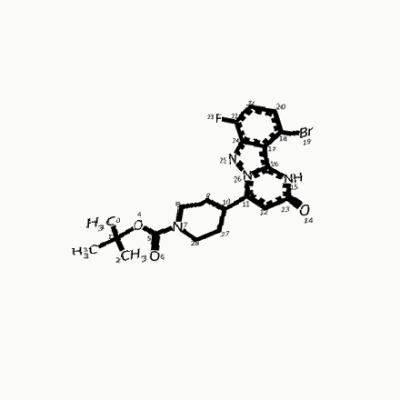 CC(C)(C)OC(=O)N1CCC(c2cc(=O)[nH]c3c4c(Br)ccc(F)c4nn23)CC1